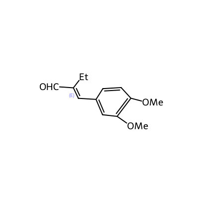 CC/C(C=O)=C\c1ccc(OC)c(OC)c1